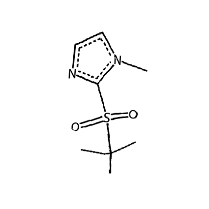 Cn1ccnc1S(=O)(=O)C(C)(C)C